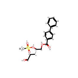 CS(=O)(=O)O[C@@H](CCC=O)COC(=O)c1ccc(-c2ccccc2)cc1